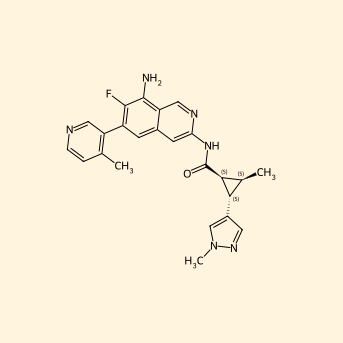 Cc1ccncc1-c1cc2cc(NC(=O)[C@H]3[C@@H](C)[C@@H]3c3cnn(C)c3)ncc2c(N)c1F